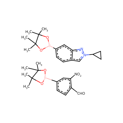 CC1(C)OB(c2ccc(C=O)c([N+](=O)[O-])c2)OC1(C)C.CC1(C)OB(c2ccc3cn(C4CC4)nc3c2)OC1(C)C